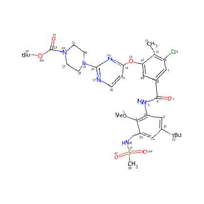 COc1c(NC(=O)c2cc(Cl)c(C)c(Oc3ccnc(N4CCN(C(=O)OC(C)(C)C)CC4)n3)c2)cc(C(C)(C)C)cc1NS(C)(=O)=O